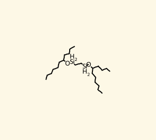 CCCCCCC(CCCC)O[SiH2]CC[SiH2]OC(CCCC)CCCCCC